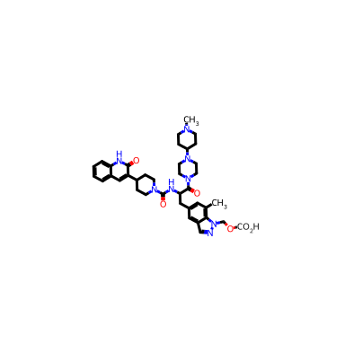 Cc1cc(CC(NC(=O)N2CCC(c3cc4ccccc4[nH]c3=O)CC2)C(=O)N2CCN(C3CCN(C)CC3)CC2)cc2cnn(COC(=O)O)c12